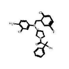 CC(O)(C(=O)N1CC[C@H](N(CC2CC(F)=CC=C2Cl)c2ccc(N)c(Cl)c2)C1)c1ccccc1